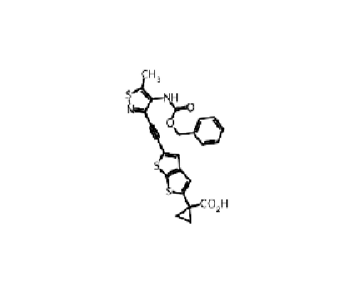 Cc1snc(C#Cc2cc3cc(C4(C(=O)O)CC4)sc3s2)c1NC(=O)OCc1ccccc1